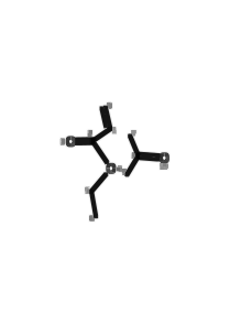 C=CC(=O)OCC.CC(C)=O